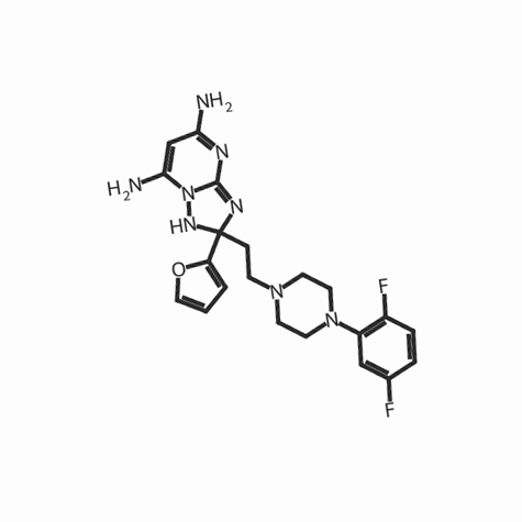 NC1=CC(N)=NC2=NC(CCN3CCN(c4cc(F)ccc4F)CC3)(c3ccco3)NN12